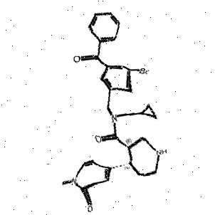 Cn1ccc([C@H]2CCNC[C@@H]2C(=O)N(Cc2cc(Br)cc(C(=O)c3ccccc3)c2)C2CC2)cc1=O